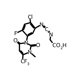 Cn1c(C(F)(F)F)cc(=O)n(-c2cc(N=C=NCC(=O)O)c(Cl)cc2F)c1=O